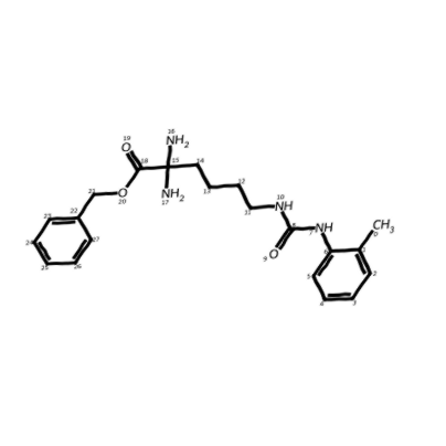 Cc1ccccc1NC(=O)NCCCCC(N)(N)C(=O)OCc1ccccc1